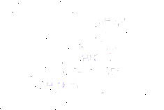 CCCCCCCCCOC(CC)NCCCN